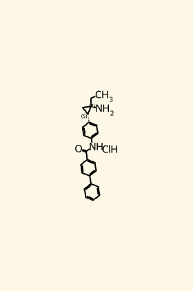 CC[C@@]1(N)C[C@H]1c1ccc(NC(=O)c2ccc(-c3ccccc3)cc2)cc1.Cl